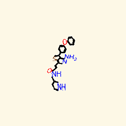 Nc1ncc(C=CC(=O)NCC2CCCNC2)c2scc(-c3ccc(Oc4ccccc4)cc3)c12